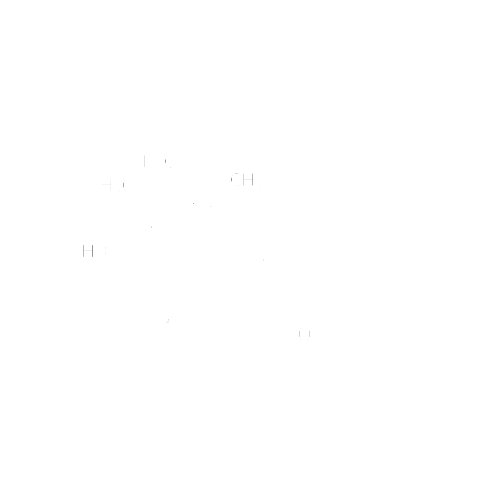 CC1(C)c2ccc3oc4ccccc4c3c2C1(C)C